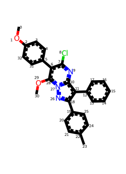 COc1ccc(-c2c(Cl)nc3c(-c4ccccc4)c(-c4ccc(C)cc4)nn3c2OC)cc1